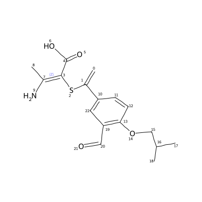 C=C(S/C(C(=O)O)=C(/C)N)c1ccc(OCC(C)C)c(C=O)c1